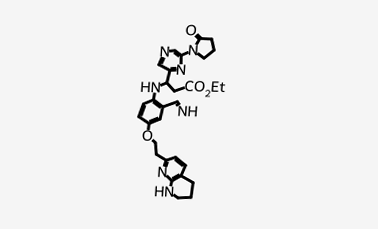 CCOC(=O)CC(Nc1ccc(OCCc2ccc3c(n2)NCCC3)cc1C=N)c1cncc(N2CCCC2=O)n1